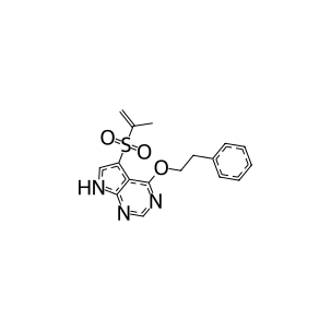 C=C(C)S(=O)(=O)c1c[nH]c2ncnc(OCCc3ccccc3)c12